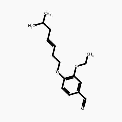 CCOc1cc(C=O)ccc1OCCC=CCC(C)C